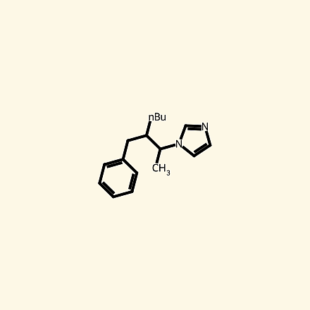 CCCCC(Cc1ccccc1)C(C)n1ccnc1